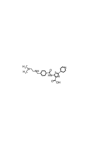 CN(C)CCNCc1ccc(C(=O)Nc2sc(-c3ccncc3)nc2C(=O)O)cc1